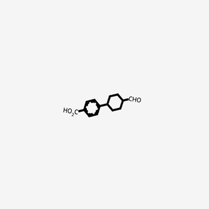 O=CC1CCC(c2ccc(C(=O)O)cc2)CC1